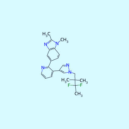 Cc1nc2cc(-c3ncccc3-c3cnn(CC(C)(C)C(C)(F)F)c3)ccc2n1C